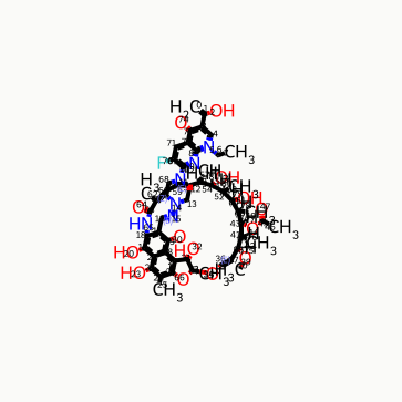 C=C(O)c1cn(CC)c2nc(N3CCN(/N=C/c4c5c(O)c6c(O)c(C)c7c(c6c4O)C(=O)[C@@](C)(O/C=C/[C@H](OC)[C@@H](C)[C@@H](OC(C)=O)[C@H](C)[C@H](O)[C@H](C)[C@@H](O)[C@@H](C)/C=C/C=C(/C)C(=O)N5)O7)CC3)c(F)cc2c1=O